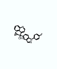 OC(c1ccc2c(cnn2-c2ccc(F)cc2)c1)(c1ccnc2ccccc12)C1CC1